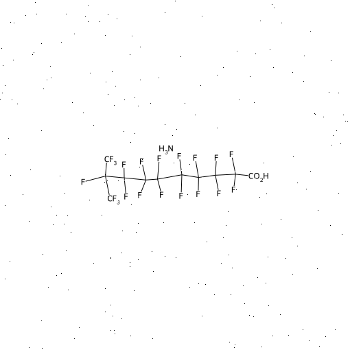 N.O=C(O)C(F)(F)C(F)(F)C(F)(F)C(F)(F)C(F)(F)C(F)(F)C(F)(F)C(F)(C(F)(F)F)C(F)(F)F